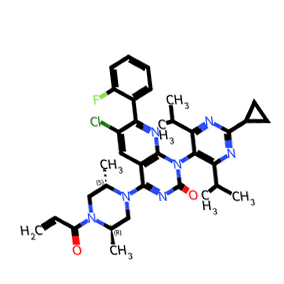 C=CC(=O)N1C[C@H](C)N(c2nc(=O)n(-c3c(C(C)C)nc(C4CC4)nc3C(C)C)c3nc(-c4ccccc4F)c(Cl)cc23)C[C@H]1C